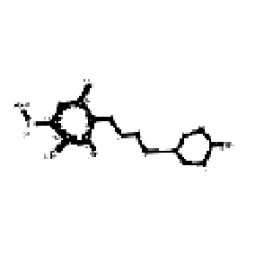 CCCC1CCC(CCCCc2c(C)cc(OCC)c(F)c2F)CC1